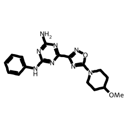 COC1CCN(c2nc(-c3nc(N)nc(Nc4ccccc4)n3)no2)CC1